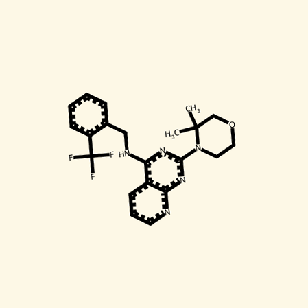 CC1(C)COCCN1c1nc(NCc2ccccc2C(F)(F)F)c2cccnc2n1